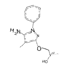 Cc1c(OC[C@H](C)O)nn(-c2ccccc2)c1N